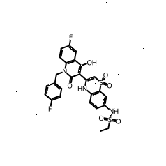 CCS(=O)(=O)Nc1ccc2c(c1)S(=O)(=O)C=C(c1c(O)c3cc(F)ccc3n(Cc3ccc(F)cc3)c1=O)N2